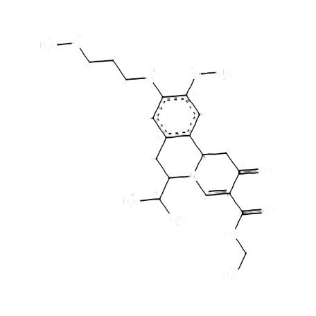 CCOC(=O)C1=CN2C(CC1=O)c1cc(OC)c(OCCCOC)cc1CC2C(C)C